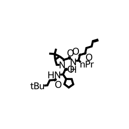 C=CCCC(=O)C(=O)C(CCC)NC(=O)C1C2C(CN1C(=O)C(NC(=O)CCC(C)(C)C)C1CCCC1)C2(C)C